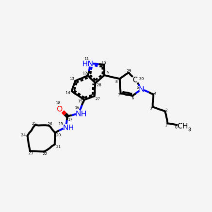 CCCCCN1C=CC(c2c[nH]c3ccc(NC(=O)NC4CCCCCC4)cc23)CC1